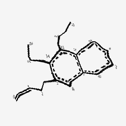 C=CCc1cc2ccccc2c(CC)c1CC